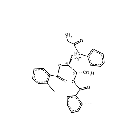 Cc1ccccc1C(=O)O[C@@H](C(=O)O)[C@@H](OC(=O)c1ccccc1C)C(=O)O.NCC(=O)Nc1ccccc1